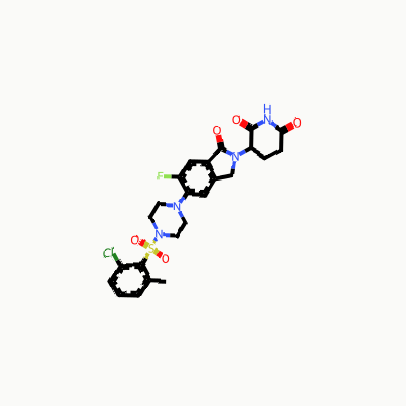 Cc1cccc(Cl)c1S(=O)(=O)N1CCN(c2cc3c(cc2F)C(=O)N(C2CCC(=O)NC2=O)C3)CC1